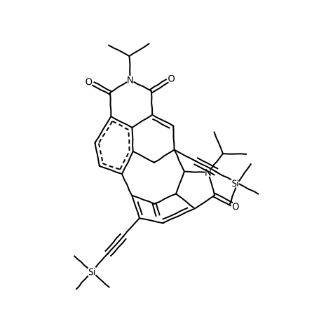 C=C1C2=C(C#C[Si](C)(C)C)C=C3C(=O)N(C(C)C)C(C13)C1(C#C[Si](C)(C)C)C=C3C(=O)N(C(C)C)C(=O)c4ccc2c(c43)C1